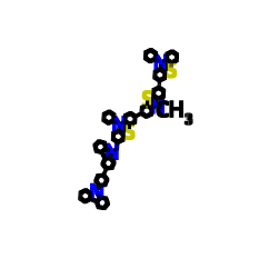 CN1c2ccc(-c3ccc4c(c3)Sc3ccccc3N4c3ccccc3)cc2Sc2cc(-c3ccc4c(c3)Sc3cc(Cn5c6ccccc6c6cc(-c7ccc(-n8c9ccccc9c9ccccc98)cc7)ccc65)ccc3N4c3ccccc3)ccc21